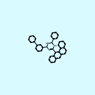 c1ccc(-c2cccc(C3N=C(c4c5ccccc5cc5ccc6ccccc6c45)NC(c4ccccc4)N3)c2)cc1